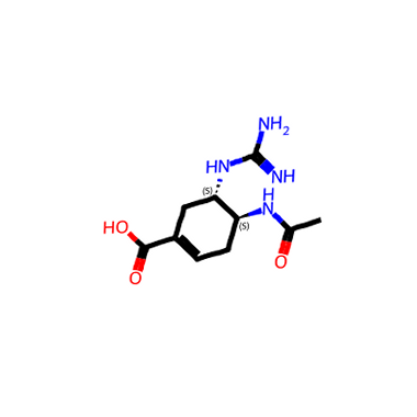 CC(=O)N[C@H]1CC=C(C(=O)O)C[C@@H]1NC(=N)N